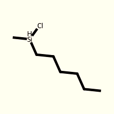 CCCCCC[SiH](C)Cl